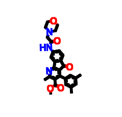 COC(=O)c1c(C)nc2c(c1-c1cc(C)cc(C)c1)C(=O)c1ccc(NC(=O)CN3CCOCC3)cc1-2